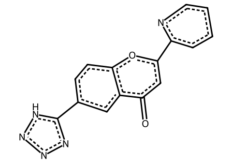 O=c1cc(-c2ccccn2)oc2ccc(-c3nnn[nH]3)cc12